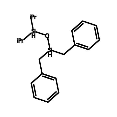 CC(C)[SiH](O[SiH](Cc1ccccc1)Cc1ccccc1)C(C)C